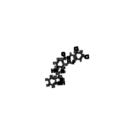 O=C(NCc1c(F)cc(Cl)cc1Cl)c1ccc2[nH]c(-c3n[nH]c4ccccc34)nc2c1